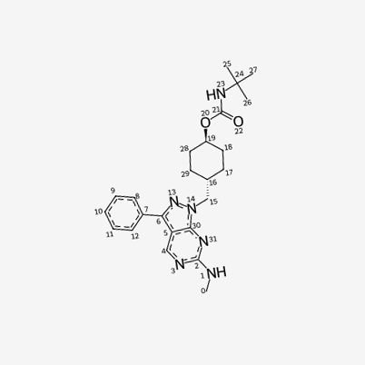 CNc1ncc2c(-c3ccccc3)nn(C[C@H]3CC[C@H](OC(=O)NC(C)(C)C)CC3)c2n1